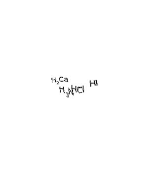 Cl.I.N.[CaH2]